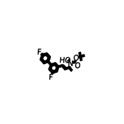 CC(/C=C/c1cc(F)cc(-c2ccc(F)cc2)c1)N(O)C(=O)OC(C)(C)C